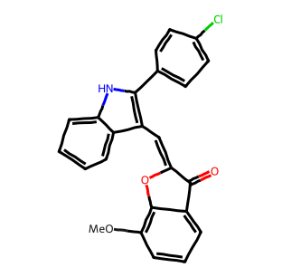 COc1cccc2c1OC(=Cc1c(-c3ccc(Cl)cc3)[nH]c3ccccc13)C2=O